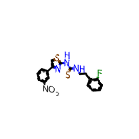 O=[N+]([O-])c1cccc(-c2csc(NC(=S)NCCc3ccccc3F)n2)c1